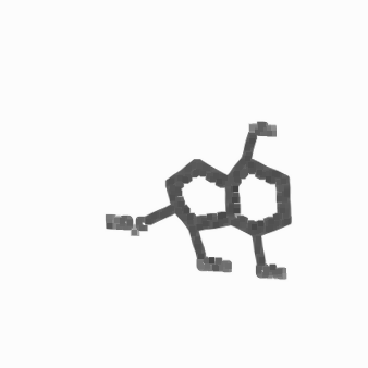 CCCCc1ccc(OC(C)=O)c2c(OC)c(C(=O)OCC)ccc12